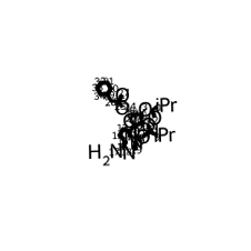 CC(C)C(=O)O[C@H]1[C@@H](OC(=O)C(C)C)[C@](C#N)(c2ccc3c(N)ncnn23)O[C@@H]1COC(=O)Cc1ccccc1